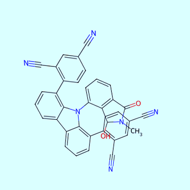 CN1C(=O)c2cccc(-n3c4c(-c5ccc(C#N)cc5C#N)cccc4c4cccc(-c5ccc(C#N)cc5C#N)c43)c2C1O